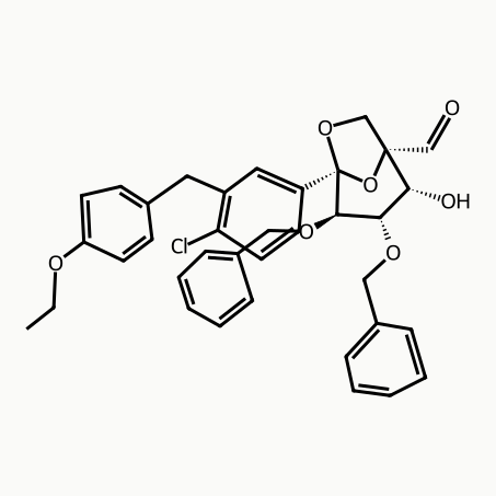 CCOc1ccc(Cc2cc([C@]34OC[C@](C=O)(O3)[C@H](O)[C@H](OCc3ccccc3)[C@H]4OCc3ccccc3)ccc2Cl)cc1